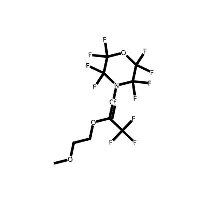 COCCO[C](=[Cf][N]1C(F)(F)C(F)(F)OC(F)(F)C1(F)F)C(F)(F)F